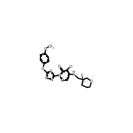 O=c1c(Cl)c(NC[C@@]2(F)CCCOC2)cnn1-c1nnc(Oc2ccc(OC(F)(F)F)cc2)s1